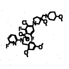 COc1ccc(CN(c2cccc(F)n2)S(=O)(=O)c2c(F)cc(N3CC[C@](CN4CCC(OC)CC4)(OC)C3)c(Cl)c2F)c(OC)c1